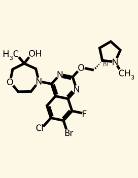 CN1CCC[C@H]1COc1nc(N2CCOCC(C)(O)C2)c2cc(Cl)c(Br)c(F)c2n1